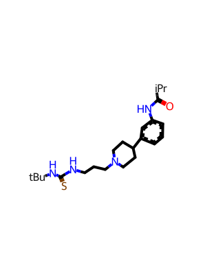 CC(C)C(=O)Nc1cccc(C2CCN(CCCNC(=S)NC(C)(C)C)CC2)c1